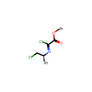 CC(C)OC(=O)/C(Cl)=N/[C@H](CCl)C(C)C